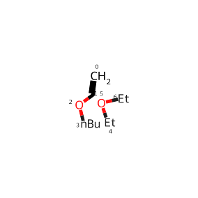 C=COCCCC.CCOCC